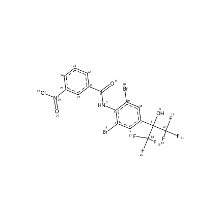 O=C(Nc1c(Br)cc(C(O)(C(F)(F)F)C(F)(F)F)cc1Br)c1cccc([N+](=O)[O-])c1